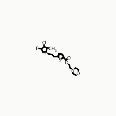 CC1C(Cl)C(F)C[C@@H]1CCCc1ccc(C(=O)OCCN2CCOCC2)s1